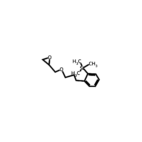 C[Si](C)(C)c1ccccc1CCCOCC1CO1